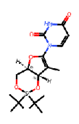 CC1=C(n2ccc(=O)[nH]c2=O)O[C@@H]2CO[Si](C(C)(C)C)(C(C)(C)C)O[C@@H]12